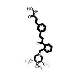 C[C@@H]1CN(Cc2ccccc2C(=O)/C=C/c2cccc(/C=C/C(=O)NO)c2)C[C@H](C)N1C